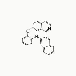 c1ccc2cc3c(cc2c1)c1nccc2ccc4oc5ccccc5n3-c4c21